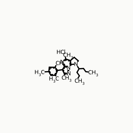 CCCC(CCC)N1CCc2c(C)nc3c(-c4c(C)cc(C)cc4C)c(C)nn3c21.Cl